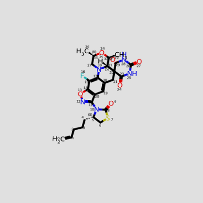 C=CCCC[C@H]1CSC(=O)N1c1noc2c(F)c3c(cc12)CC1(C(=O)NC(=O)NC1=O)[C@H]1[C@H](C)O[C@H](C)CN31